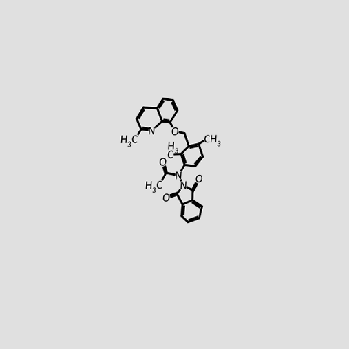 CC(=O)N(c1ccc(C)c(COc2cccc3ccc(C)nc23)c1C)N1C(=O)c2ccccc2C1=O